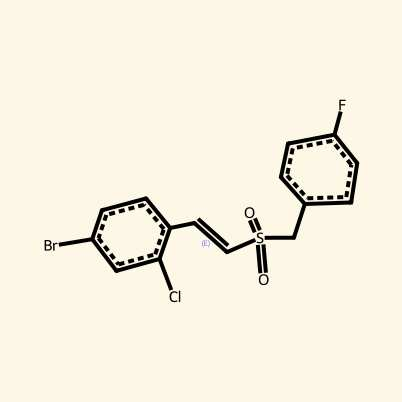 O=S(=O)(/C=C/c1ccc(Br)cc1Cl)Cc1ccc(F)cc1